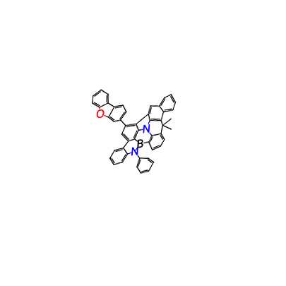 CC1(C)c2cccc3c2-n2c4c1c1ccccc1cc4c1c(-c4ccc5c(c4)oc4ccccc45)cc4c(c12)B3N(c1ccccc1)c1ccccc1-4